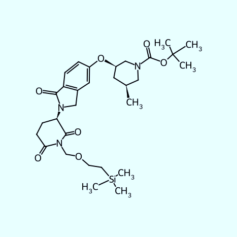 C[C@H]1C[C@@H](Oc2ccc3c(c2)CN([C@@H]2CCC(=O)N(COCC[Si](C)(C)C)C2=O)C3=O)CN(C(=O)OC(C)(C)C)C1